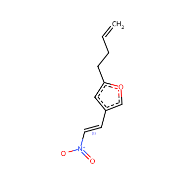 C=CCCc1cc(/C=C/[N+](=O)[O-])co1